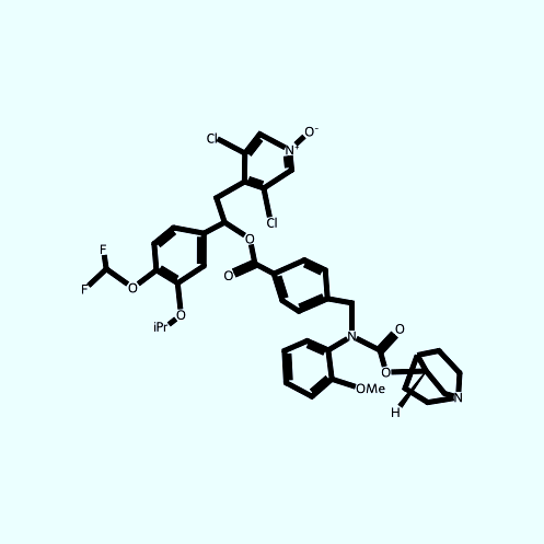 COc1ccccc1N(Cc1ccc(C(=O)OC(Cc2c(Cl)c[n+]([O-])cc2Cl)c2ccc(OC(F)F)c(OC(C)C)c2)cc1)C(=O)O[C@H]1CN2CCC1CC2